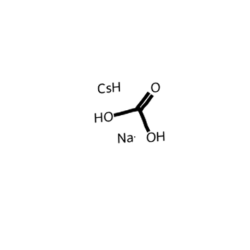 O=C(O)O.[CsH].[Na]